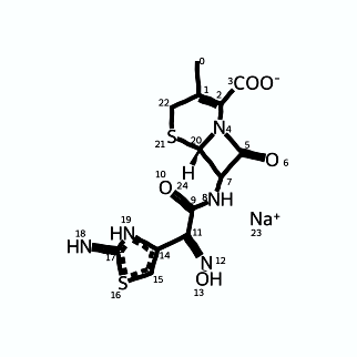 CC1=C(C(=O)[O-])N2C(=O)C(NC(=O)C(=NO)c3csc(=N)[nH]3)[C@@H]2SC1.[Na+]